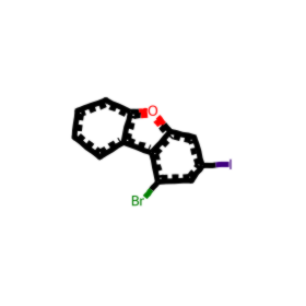 Brc1cc(I)cc2oc3ccccc3c12